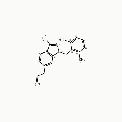 C=CCc1ccc2c(C)nn(Cc3c(C)cccc3C)c2c1